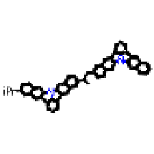 CC(C)c1ccc2cc3c(cc2c1)c1cccc2c4cc5cc(C(C)Cc6ccc7cc8c(cc7c6)c6cccc7c9cc%10ccccc%10cc9n8c76)ccc5cc4n3c12